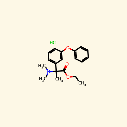 CCOC(=O)C(C)(c1cccc(Oc2ccccc2)c1)N(C)C.Cl